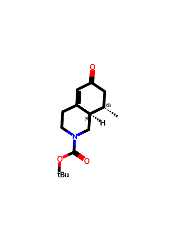 C[C@H]1CC(=O)C=C2CCN(C(=O)OC(C)(C)C)C[C@@H]21